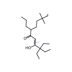 CCCC(CCC(C)(C)F)C(=O)/C=C(\O)C(CC)(CC)CC